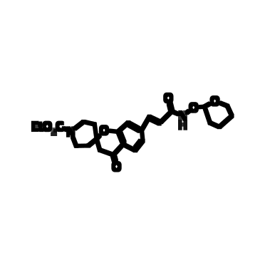 CCOC(=O)N1CCC2(CC1)CC(=O)c1ccc(/C=C/C(=O)NOC3CCCCO3)cc1O2